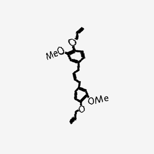 C=CCOc1ccc(C/C=C\Cc2ccc(OCC=C)c(OC)c2)cc1OC